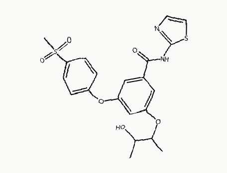 CC(O)C(C)Oc1cc(Oc2ccc(S(C)(=O)=O)cc2)cc(C(=O)Nc2nccs2)c1